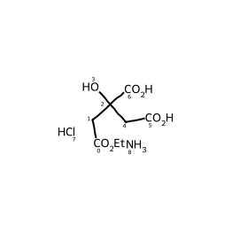 CCOC(=O)CC(O)(CC(=O)O)C(=O)O.Cl.N